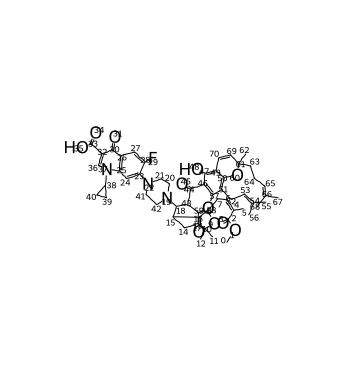 COC(=O)/C(C)=C\CC12OC(C)(C)C3CC(C1=O)C(N1CCN(c4cc5c(cc4F)c(=O)c(C(=O)O)cn5C4CC4)CC1)C1C(=O)c4c(O)c5c(c(CC=C(C)C)c4OC132)OC(C)(CCC=C(C)C)C=C5